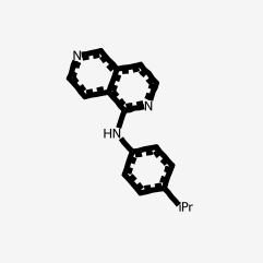 CC(C)c1ccc(Nc2nccc3cnccc23)cc1